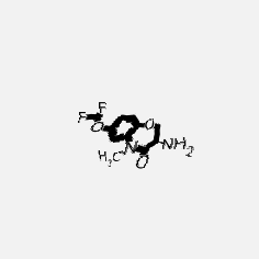 CN1C(=O)[C@@H](N)COc2ccc(OC(F)F)cc21